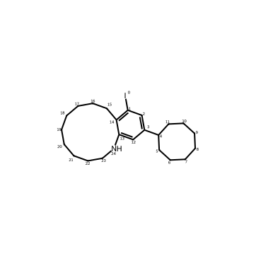 Ic1cc(C2CCCCCCC2)cc2c1CCCCCCCCCN2